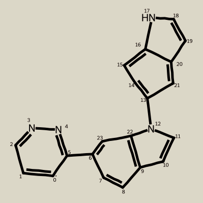 [c]1ccnnc1-c1ccc2ccn(-c3ccc4[nH]ccc4c3)c2c1